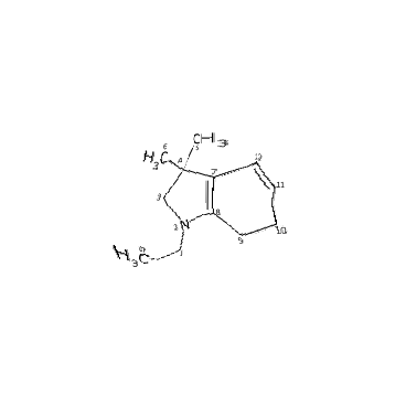 CCN1CC(C)(C)C2=C1CCC=C2